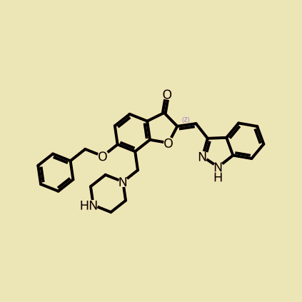 O=C1/C(=C/c2n[nH]c3ccccc23)Oc2c1ccc(OCc1ccccc1)c2CN1CCNCC1